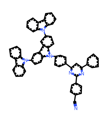 N#Cc1ccc(-c2nc(-c3ccccc3)cc(-c3ccc(-n4c5ccc(-n6c7ccccc7c7ccccc76)cc5c5cc(-n6c7ccccc7c7ccccc76)ccc54)cc3)n2)cc1